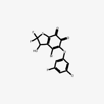 O=C1C(=O)C2=C(C(Br)=C1Oc1cc(F)cc(Cl)c1)C(O)C(F)(F)S2